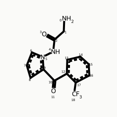 NCC(=O)Nn1cccc1C(=O)c1ccccc1C(F)(F)F